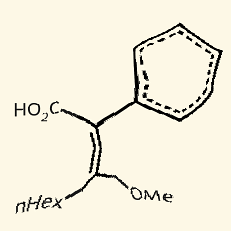 CCCCCCC(OC)=C(C(=O)O)c1ccccc1